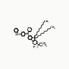 CCCCCCCCCCC1(CCCCCCCCCC)C2=C(CCC(C(C)(CC)CC)=C2)c2ccc(N(C3=CC=CCC3)c3ccc(Nc4ccccc4)cc3)cc21